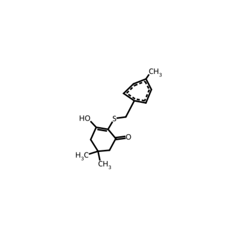 Cc1ccc(CSC2=C(O)CC(C)(C)CC2=O)cc1